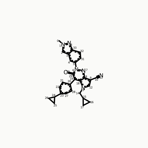 Cn1cc2cc(-n3nc4c(C#N)cn(CC5CC5)c4c(-c4ccc(C5CC5)cc4)c3=O)ccc2n1